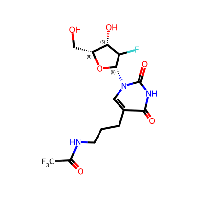 O=C(NCCCc1cn([C@@H]2O[C@H](CO)[C@H](O)C2F)c(=O)[nH]c1=O)C(F)(F)F